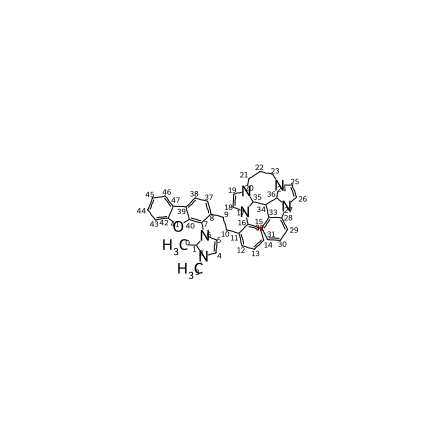 CC1N(C)C=CN1c1c(CCc2ccccc2N2C=CN3CCCN4C=CN5c6ccccc6C(C32)C45)ccc2c1oc1ccccc12